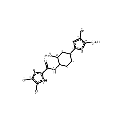 CCc1[nH]c(C(=O)NC2CCN(c3cc(C(C)=O)c(C(=O)O)s3)CC2OC)nc1Cl